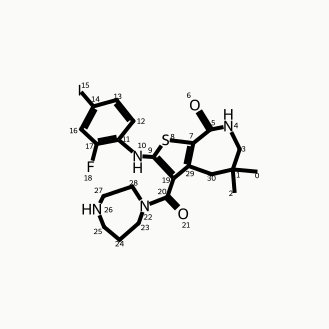 CC1(C)CNC(=O)c2sc(Nc3ccc(I)cc3F)c(C(=O)N3CCCNCC3)c2C1